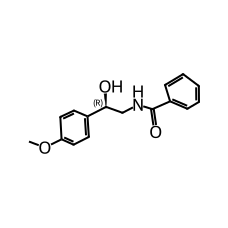 COc1ccc([C@@H](O)CNC(=O)c2ccccc2)cc1